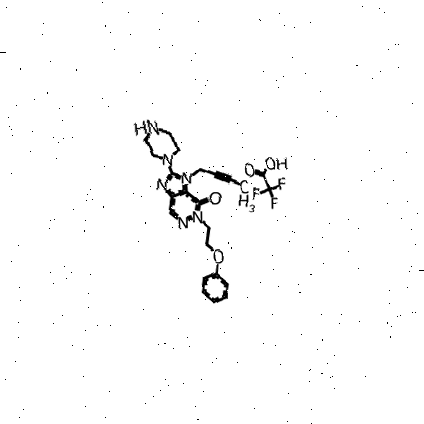 CC#CCn1c(N2CCNCC2)nc2cnn(CCOc3ccccc3)c(=O)c21.O=C(O)C(F)(F)F